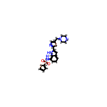 O=S(=O)(Nc1cccc2cc(-c3ncc(CN4CC[N]CC4)s3)[nH]c12)c1cccs1